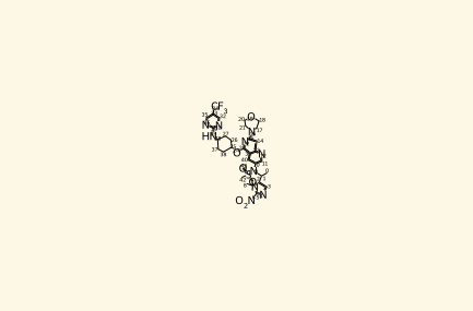 CC(c1cnc([N+](=O)[O-])n1C)N(c1cnc2cc(N3CCOCC3)nc(OC3CCC(Nc4ncc(C(F)(F)F)cn4)CC3)c2c1)S(C)(=O)=O